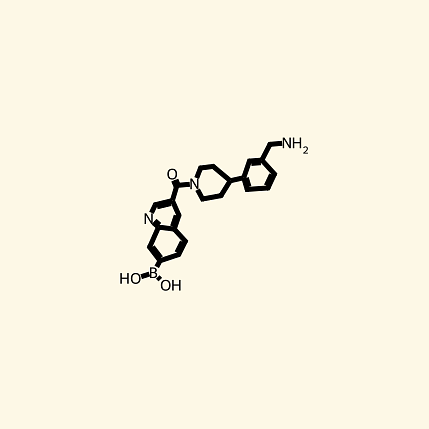 NCc1cccc(C2CCN(C(=O)c3cnc4cc(B(O)O)ccc4c3)CC2)c1